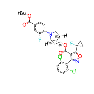 CC(C)(C)OC(=O)c1ccc(N2C[C@@H]3C[C@H]2C[C@H]3OC(=O)c2c(-c3c(Cl)cccc3Cl)noc2C2(F)CC2)c(F)c1